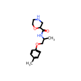 Cc1ccc(OCC(C)NC(=O)C2CNCCO2)cc1